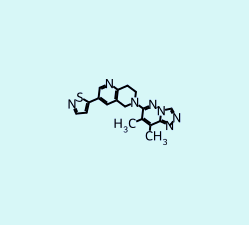 Cc1c(N2CCc3ncc(-c4ccns4)cc3C2)nn2cnnc2c1C